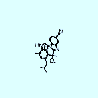 COC(C)(c1nc2cc(C#N)ccc2[nH]1)c1c(CC(C)C)cc(C)c2[nH]ccc12